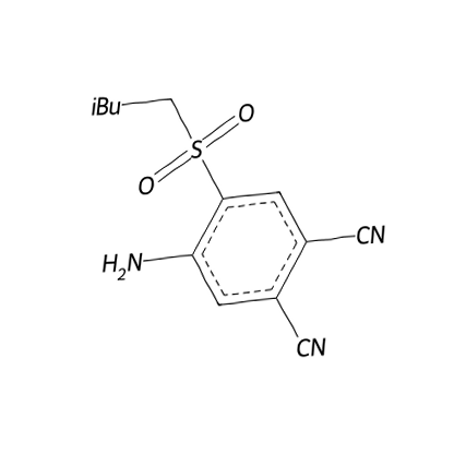 CCC(C)CS(=O)(=O)c1cc(C#N)c(C#N)cc1N